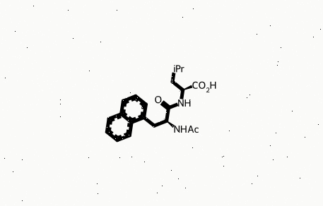 CC(=O)N[C@@H](Cc1cccc2ccccc12)C(=O)N[C@@H](CC(C)C)C(=O)O